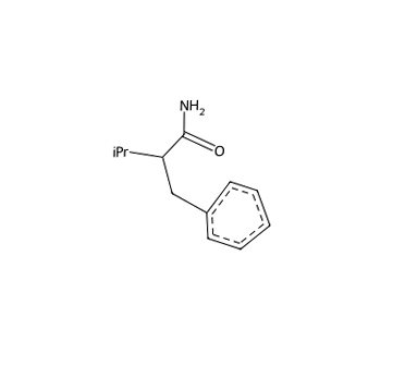 CC(C)C(Cc1ccccc1)C(N)=O